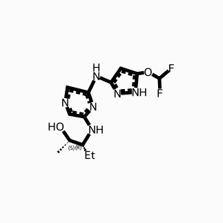 CC[C@@H](Nc1cncc(Nc2cc(OC(F)F)[nH]n2)n1)[C@H](C)O